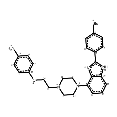 CC(C)(C)c1ccc(-c2nc3c(N4CCN(CCOc5ccc(N)cc5)CC4)cccc3[nH]2)cc1